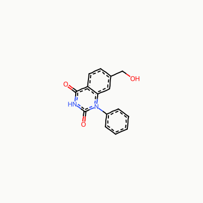 O=c1[nH]c(=O)n(-c2ccccc2)c2cc(CO)ccc12